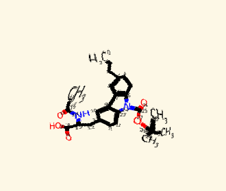 C=CCc1ccc2c(c1)c1cc(CC(NC(C)=O)C(=O)O)ccc1n2C(=O)OC(C)(C)C